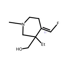 CCC1(CO)CN(C)CC/C1=C\F